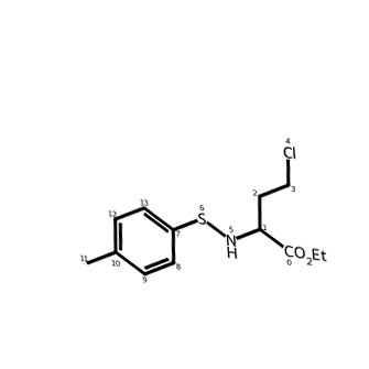 CCOC(=O)C(CCCl)NSc1ccc(C)cc1